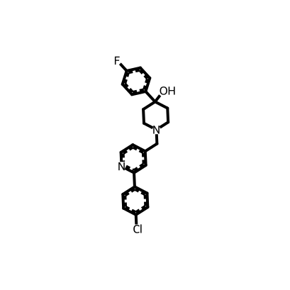 OC1(c2ccc(F)cc2)CCN(Cc2ccnc(-c3ccc(Cl)cc3)c2)CC1